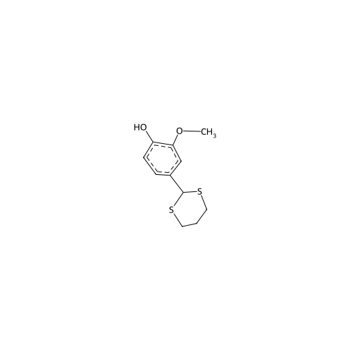 COc1cc(C2SCCCS2)ccc1O